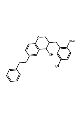 COc1ccc(N)cc1CC1COc2ccc(OCc3ccccc3)cc2C1O